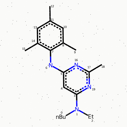 CCCCN(CC)c1cc([N]c2c(C)cc(C)cc2C)nc(C)n1